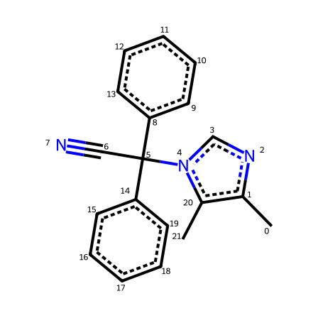 Cc1ncn(C(C#N)(c2ccccc2)c2ccccc2)c1C